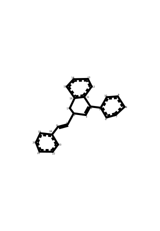 C(=CC1C=C(c2ccccc2)c2ccccc2C1)c1ccccc1